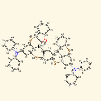 c1ccc(N(c2ccccc2)c2cc3c4c(c2)Sc2cc5c(cc2B4c2ccccc2S3)B2c3oc4ccccc4c3Sc3cc(N(c4ccccc4)c4ccccc4)cc(c32)S5)cc1